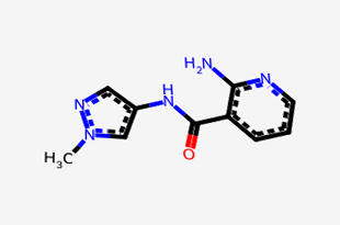 Cn1cc(NC(=O)c2cccnc2N)cn1